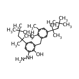 Cc1cc(C(C)(C)CC(C)(C)C)cc(Cc2cc(C(C)(C)CC(C)(C)C)cc(NN)c2O)c1O